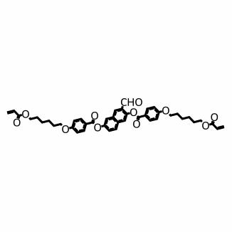 C=CC(=O)OCCCCCCOc1ccc(C(=O)Oc2ccc3cc(OC(=O)c4ccc(OCCCCCCOC(=O)C=C)cc4)c(C=O)cc3c2)cc1